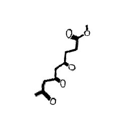 COC(=O)CCC(=O)CC(=O)CC(C)=O